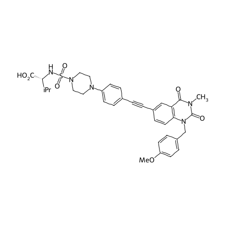 COc1ccc(Cn2c(=O)n(C)c(=O)c3cc(C#Cc4ccc(N5CCN(S(=O)(=O)N[C@@H](C(=O)O)C(C)C)CC5)cc4)ccc32)cc1